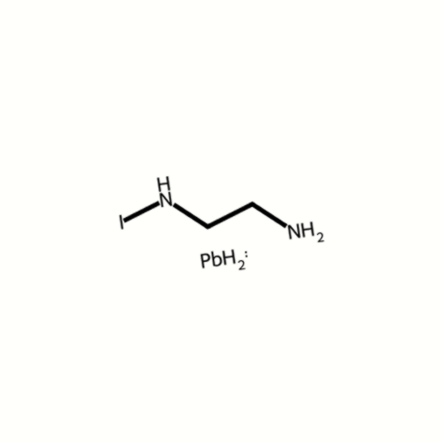 NCCNI.[PbH2]